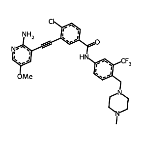 COc1cnc(N)c(C#Cc2cc(C(=O)Nc3ccc(CN4CCN(C)CC4)c(C(F)(F)F)c3)ccc2Cl)c1